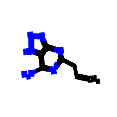 C=CCc1nc(N)c2[nH]nnc2n1